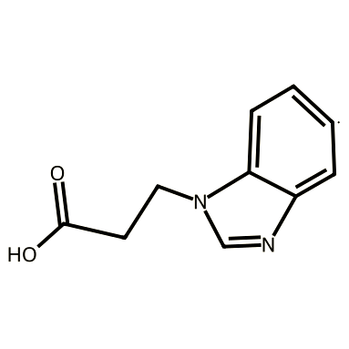 O=C(O)CCn1cnc2c[c]ccc21